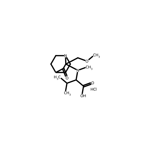 COCC1(N(C)C(C(=O)O)C(C)C)C(=O)C2CCN1CC2.Cl